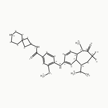 COc1cc(C(=O)NC2CC3(CCNCC3)C2)ccc1NC1=NC2C(C=N1)N(C)C(=O)C(F)(F)CN2C(C)C